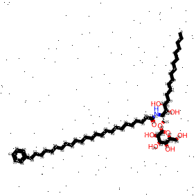 CCCCCCCCCCCCCC[C@@H](O)[C@@H](O)[C@H](COC1OC(CO)C(O)C(O)C1O)NC(=O)CCCCCCCCCCCCCCCCCCCCCCCCc1ccccc1